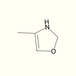 CC1=COCN1